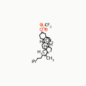 CC(C)CCC[C@@H](C)[C@H]1CC[C@H]2[C@@H]3CC=C4C[C@@H](OS(=O)(=O)C(F)(F)F)CC[C@]4(C)[C@H]3CC[C@]12C